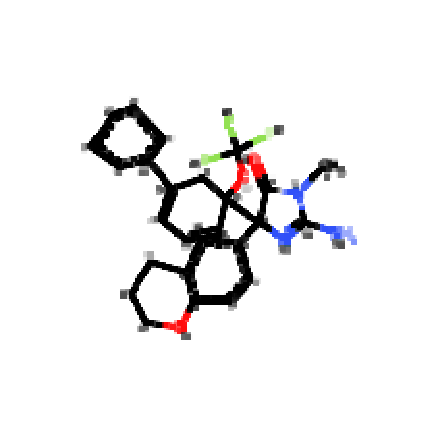 CN1C(=O)C(c2ccc3c(c2)CCCO3)(C2(OC(F)(F)F)C=CC=C(c3ccccc3)C2)N=C1N